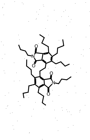 CCCCc1c(CCCC)c(CCc2c(CCCC)c(CCCC)c(CCCC)c3c2C(=O)N(CCCC)C3=O)c2c(c1CCCC)C(=O)N(CCCC)C2=O